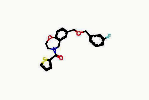 O=C(c1cccs1)N1CCOc2ccc(COCc3cccc(F)c3)cc2C1